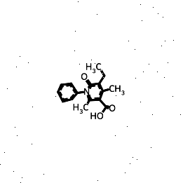 CCc1c(C)c(C(=O)O)c(C)n(-c2ccccc2)c1=O